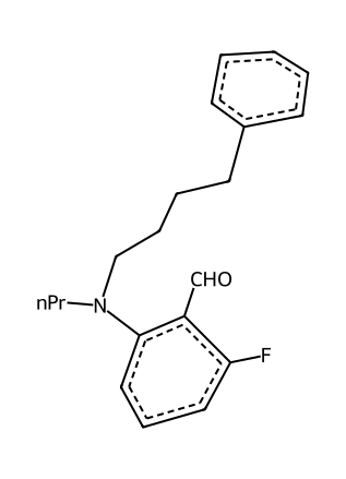 CCCN(CCCCc1ccccc1)c1cccc(F)c1C=O